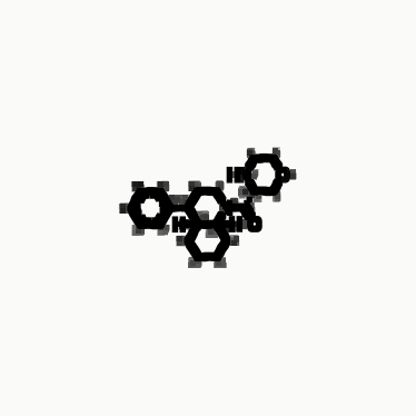 O=C([C@H]1COCCN1)N1CC[C@H](c2ccccc2)[C@H]2CCCC[C@H]21